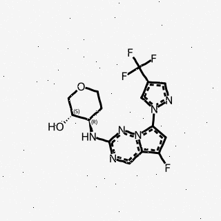 O[C@@H]1COCC[C@H]1Nc1ncc2c(F)cc(-n3cc(C(F)(F)F)cn3)n2n1